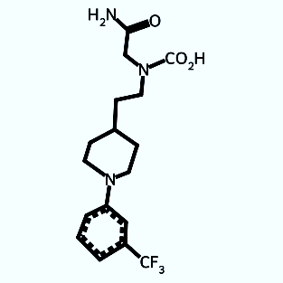 NC(=O)CN(CCC1CCN(c2cccc(C(F)(F)F)c2)CC1)C(=O)O